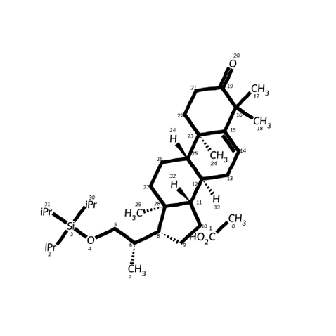 CC(=O)O.CC(C)[Si](OC[C@@H](C)[C@H]1CC[C@H]2[C@@H]3CC=C4C(C)(C)C(=O)CC[C@]4(C)[C@H]3CC[C@]12C)(C(C)C)C(C)C